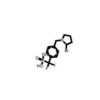 O=P(O)(O)C(F)(F)c1ccc(CN2CCCC2Br)cc1